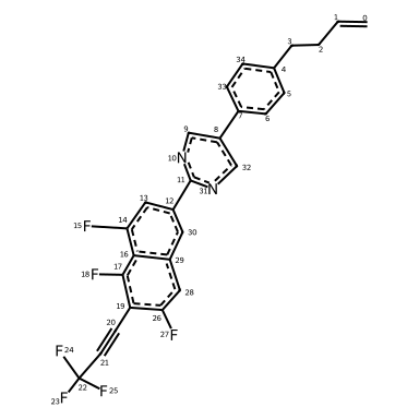 C=CCCc1ccc(-c2cnc(-c3cc(F)c4c(F)c(C#CC(F)(F)F)c(F)cc4c3)nc2)cc1